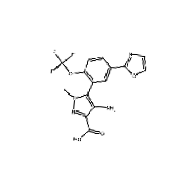 Cn1nc(C(=O)O)c(N)c1-c1cc(-c2ncco2)ccc1OC(F)(F)F